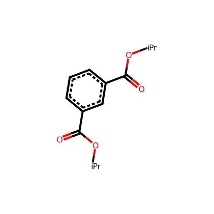 CC(C)OC(=O)c1[c]c(C(=O)OC(C)C)ccc1